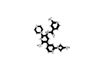 Cc1nc(N2CCOCC2)c(NC(=O)c2ccnc(C(C)C)c2)cc1-c1ccnc(N2CC(O)C2)c1